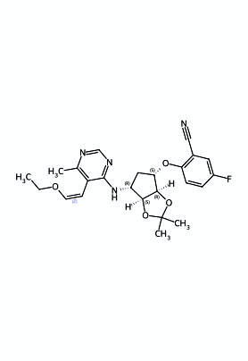 CCO/C=C\c1c(C)ncnc1N[C@@H]1C[C@H](Oc2ccc(F)cc2C#N)[C@H]2OC(C)(C)O[C@H]21